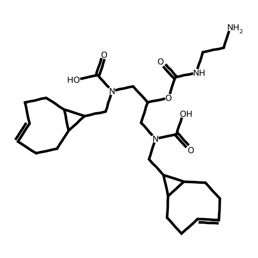 NCCNC(=O)OC(CN(CC1C2CC/C=C/CCC21)C(=O)O)CN(CC1C2CC/C=C/CCC21)C(=O)O